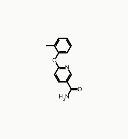 Cc1ccccc1Oc1ccc(C(N)=O)cn1